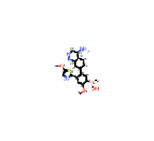 COc1cnc(-c2cc(OC)c(B(C)O)cc2-c2ccc3c(N)cnnc3c2)s1